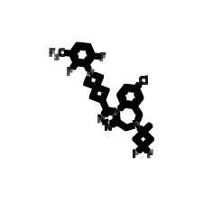 CC1(N2Cc3cc(Cl)ccc3-n3c(nnc3C3CC4(C3)CN(c3c(F)ccc(C(F)(F)F)c3F)C4)C2)CC(F)(F)C1